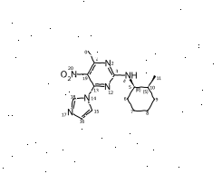 Cc1nc(N[C@@H]2CCCC[C@@H]2C)nc(-n2ccnc2)c1[N+](=O)[O-]